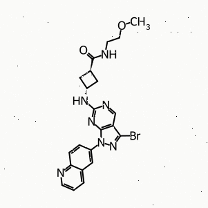 COCCNC(=O)[C@H]1C[C@H](Nc2ncc3c(Br)nn(-c4ccc5ncccc5c4)c3n2)C1